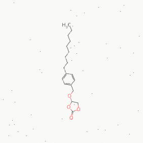 CCCCCCCCCc1ccc(COC2COC(=O)O2)cc1